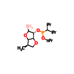 B[C@@H]1OC2C(OC[C@H]2C)[C@H]1OP(OCCC)C(C(C)C)C(C)C